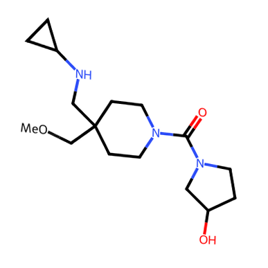 COCC1(CNC2CC2)CCN(C(=O)N2CCC(O)C2)CC1